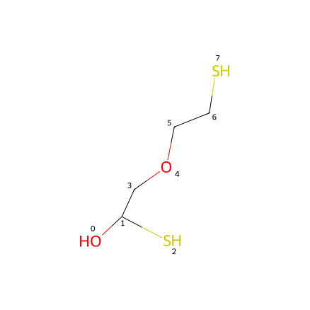 OC(S)COCCS